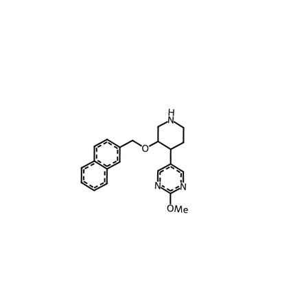 COc1ncc(C2CCNCC2OCc2ccc3ccccc3c2)cn1